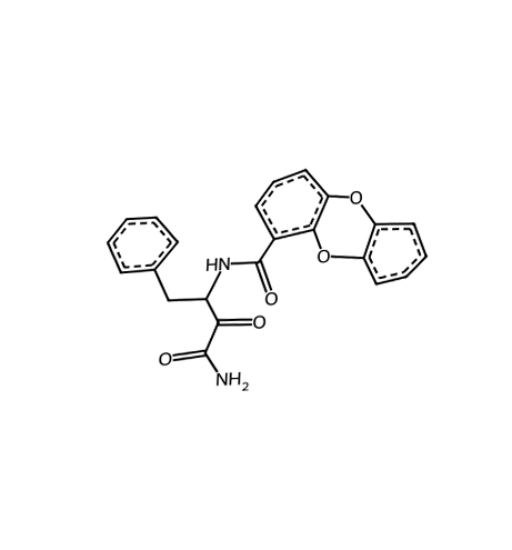 NC(=O)C(=O)C(Cc1ccccc1)NC(=O)c1cccc2c1Oc1ccccc1O2